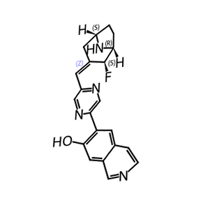 Oc1cc2cnccc2cc1-c1cnc(/C=C2/C[C@@H]3CC[C@@H](N3)[C@H]2F)cn1